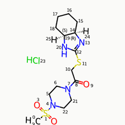 CS(=O)(=O)N1CCN(C(=O)CSC2=N[C@@H]3CCCC[C@@H]3N2)CC1.Cl